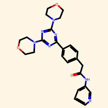 O=C(Cc1ccc(-c2nc(N3CCOCC3)nc(N3CCOCC3)n2)cc1)Nc1cccnc1